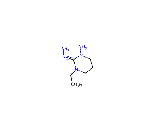 N/N=C1\N(N)CCCN1CC(=O)O